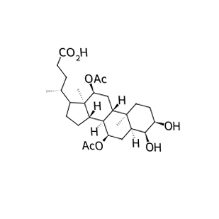 CC(=O)O[C@H]1C[C@H]2[C@@H]([C@H](OC(C)=O)C[C@@H]3[C@H](O)[C@H](O)CC[C@@]32C)[C@@H]2CCC([C@H](C)CCC(=O)O)[C@@]12C